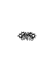 O=C(Nc1ccc2cccc(O)c2n1)c1ccc2cccc(O)c2n1